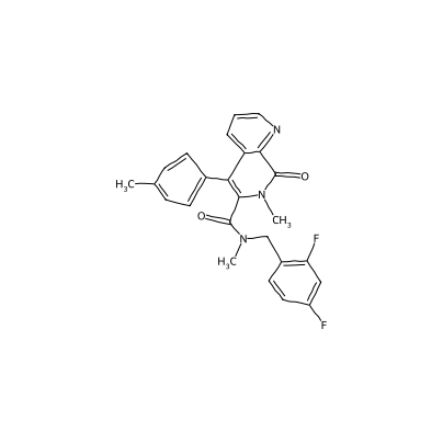 Cc1ccc(-c2c(C(=O)N(C)Cc3ccc(F)cc3F)n(C)c(=O)c3ncccc23)cc1